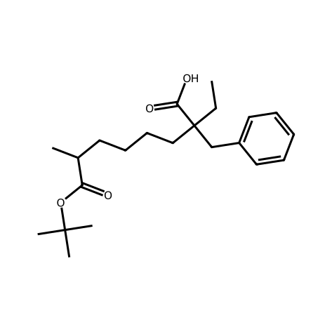 CCC(CCCCC(C)C(=O)OC(C)(C)C)(Cc1ccccc1)C(=O)O